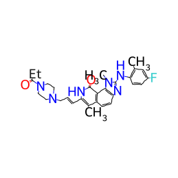 CCC(=O)N1CCN(CC=Cc2[nH]c(=O)c3c(ccc4nc(Nc5ccc(F)cc5C)n(C)c43)c2C)CC1